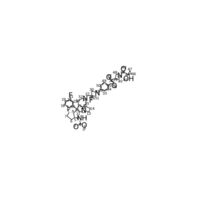 COC(=O)N[C@H]1CCC[C@@H]1[C@](CN1CCC1)(c1cccc(F)c1)C1CCN(CC2(F)CN(c3ccc(S(=O)(=O)C4CN(C(=O)C5(O)CC5)C4)cc3)C2)CC1